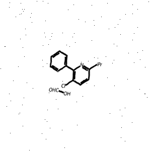 CC(C)c1ccc(Cl)c(-c2ccccc2)n1.O=CO